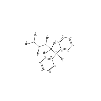 BrC(Br)C(Br)C(Br)C(Br)(Br)C(Br)(c1ccccc1)c1ccccc1